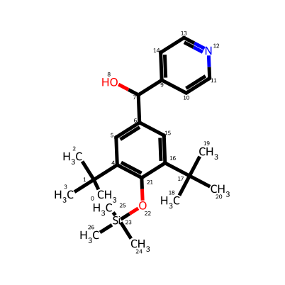 CC(C)(C)c1cc(C(O)c2ccncc2)cc(C(C)(C)C)c1O[Si](C)(C)C